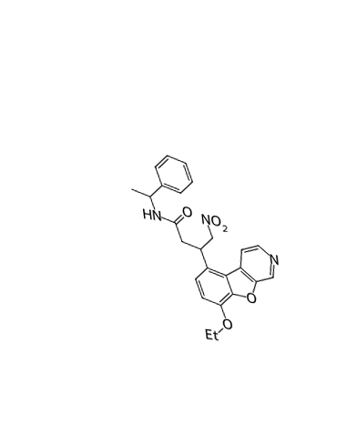 CCOc1ccc(C(CC(=O)NC(C)c2ccccc2)C[N+](=O)[O-])c2c1oc1cnccc12